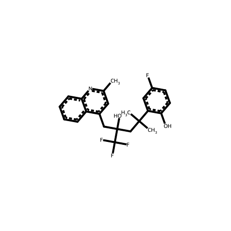 Cc1cc(CC(O)(CC(C)(C)c2cc(F)ccc2O)C(F)(F)F)c2ccccc2n1